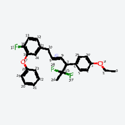 CCOc1ccc(C(/C=C/Cc2ccc(F)c(Oc3ccccc3)c2)C(C)(F)F)cc1